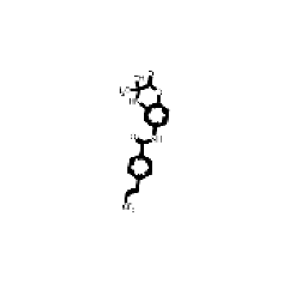 CC1(C)Nc2cc(NC(=O)c3ccc(C=CC(F)(F)F)cc3)ccc2OC1=O